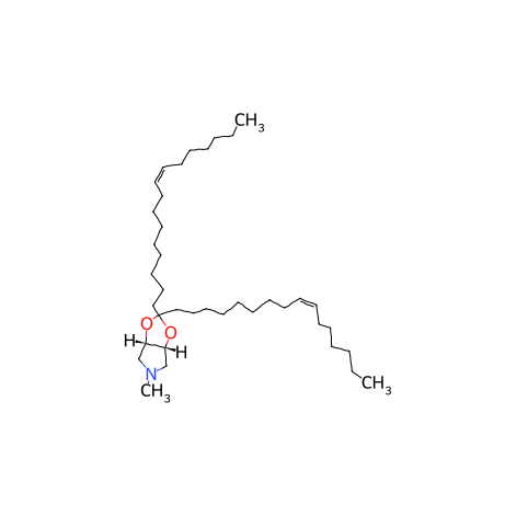 CCCCCC/C=C\CCCCCCCCC1(CCCCCCCC/C=C\CCCCCC)O[C@H]2CN(C)C[C@H]2O1